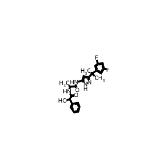 CC(NC(=O)C(O)c1ccccc1)C(=O)Nc1cc(C(C)(C)c2cc(F)cc(F)c2)n[nH]1